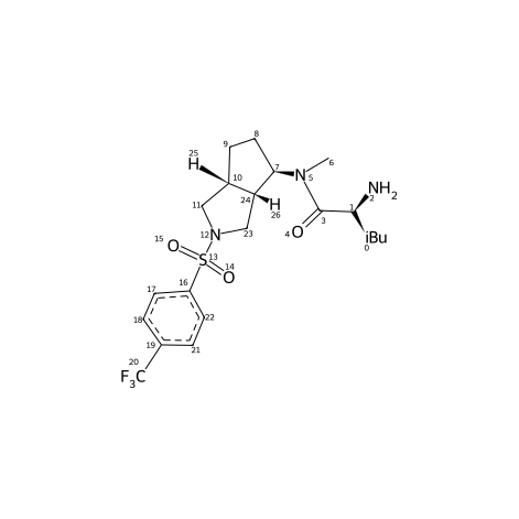 CC[C@H](C)[C@H](N)C(=O)N(C)[C@@H]1CC[C@H]2CN(S(=O)(=O)c3ccc(C(F)(F)F)cc3)C[C@H]21